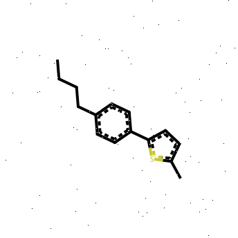 CCCCc1ccc(-c2ccc(C)s2)cc1